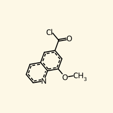 COc1cc(C(=O)Cl)cc2cccnc12